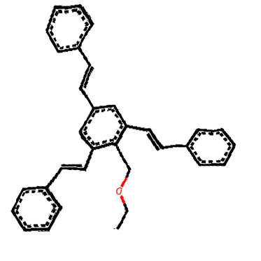 [CH2]COCc1c(C=Cc2ccccc2)cc(C=Cc2ccccc2)cc1C=Cc1ccccc1